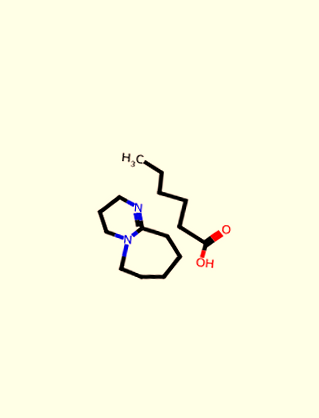 C1CCC2=NCCCN2CC1.CCCCCC(=O)O